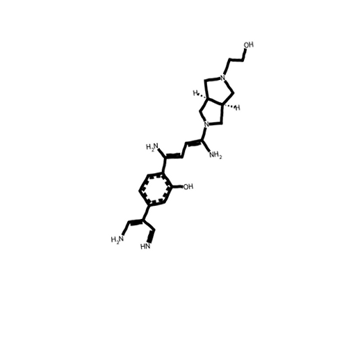 N=C/C(=C\N)c1ccc(/C(N)=C/C=C(\N)N2C[C@H]3CN(CCO)C[C@H]3C2)c(O)c1